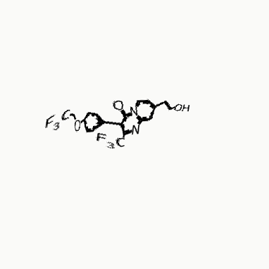 O=c1c(-c2ccc(OCC(F)(F)F)cc2)c(C(F)(F)F)nc2cc(CCO)ccn12